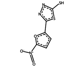 O=[N+]([O-])c1ccc(-c2nnc(S)s2)o1